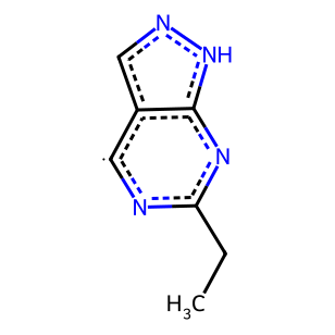 CCc1n[c]c2cn[nH]c2n1